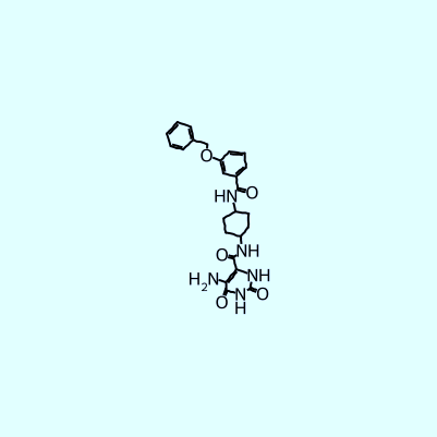 Nc1c(C(=O)NC2CCC(NC(=O)c3cccc(OCc4ccccc4)c3)CC2)[nH]c(=O)[nH]c1=O